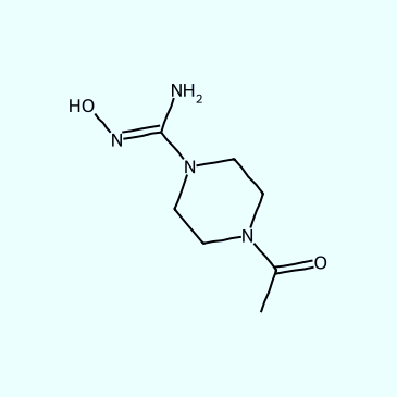 CC(=O)N1CCN(C(N)=NO)CC1